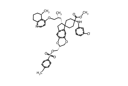 COC(=O)C1(Nc2cccc(Cl)c2)CCC2(CC1)c1cc3c(cc1C[C@@H]2C[C@@H](C)COc1ccnc2c1[C@H](C)CCC2)O[C@@H](COS(=O)(=O)c1ccc(C)cc1)CO3